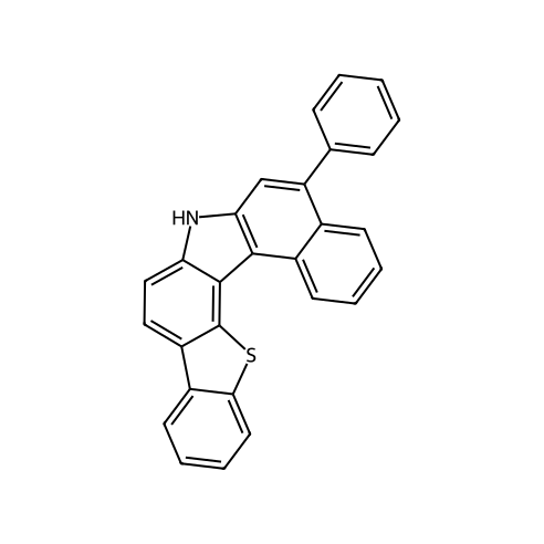 c1ccc(-c2cc3[nH]c4ccc5c6ccccc6sc5c4c3c3ccccc23)cc1